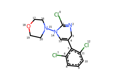 ClC1=NCC(c2c(Cl)cccc2Cl)=CN1N1CCOCC1